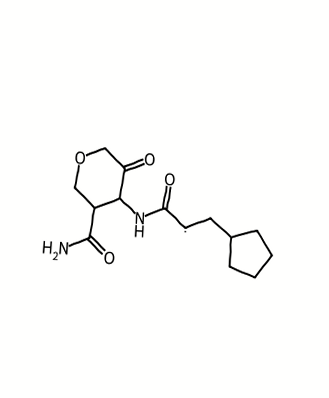 NC(=O)C1COCC(=O)C1NC(=O)[CH]CC1CCCC1